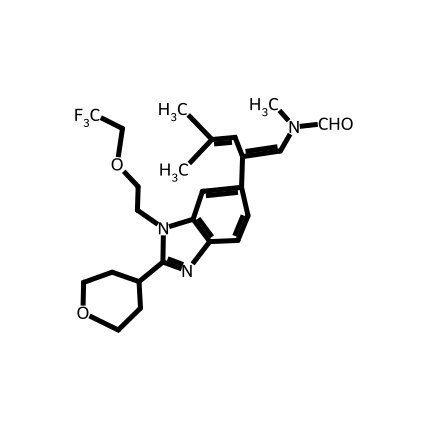 CC(C)=C/C(=C\N(C)C=O)c1ccc2nc(C3CCOCC3)n(CCOCC(F)(F)F)c2c1